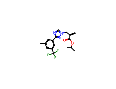 C=C(Cn1cnc(-c2cc(C)cc(C(F)(F)F)c2)n1)C(=O)OC(C)C